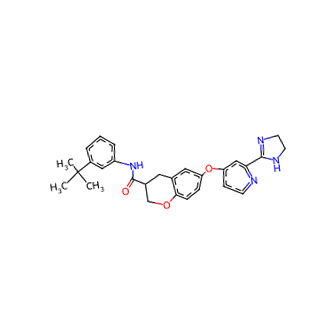 CC(C)(C)c1cccc(NC(=O)C2COc3ccc(Oc4ccnc(C5=NCCN5)c4)cc3C2)c1